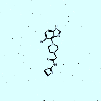 O=C(CN1CCN(c2c(Br)cnc3[nH]cnc23)CC1)Nc1nccs1